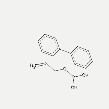 C=CCOP(O)O.c1ccc(-c2ccccc2)cc1